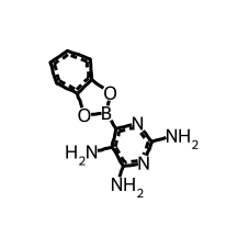 Nc1nc(N)c(N)c(B2Oc3ccccc3O2)n1